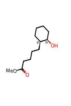 COC(=O)CCCC[C@H]1CCCC[C@H]1O